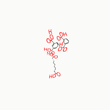 O=C(O)CCCCCCCC(=O)O.O=C(O)c1cccc(C(=O)O)c1.O=C(O)c1cccc(C(=O)O)c1